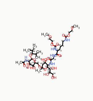 COCCOC(=O)NCCCCC(NC(=O)OCCOC)C(=O)NCC(=O)N[C@H]1C([C@H](O)[C@H](O)CO)O[C@](C)(OCC2O[C@H](OC(C(C)C)C(C)C)C(NC(C)=O)[C@@H](O)[C@H]2O)C[C@H]1O